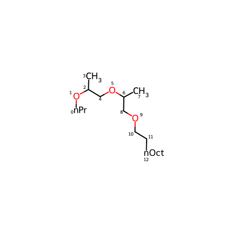 C[CH]COC(C)COC(C)COCCCCCCCCCC